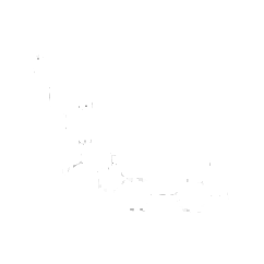 O=C(NCC(O)CCCO)c1cc2ccc(-c3ccc(F)c(F)c3)cc2[nH]1